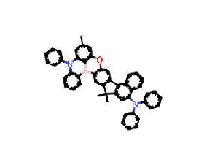 Cc1cc2c3c(c1)N(c1ccccc1)c1ccccc1B3c1cc3c(cc1O2)-c1c(cc(N(c2ccccc2)c2ccccc2)c2ccccc12)C3(C)C